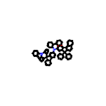 c1ccc(-c2ccccc2N(c2ccc3c(c2)C(c2ccccc2)(c2ccccc2)c2ccc4ccccc4c2-3)c2ccc3c(c2)C2(c4ccccc4-3)c3ccccc3-n3c4ccccc4c4cccc2c43)cc1